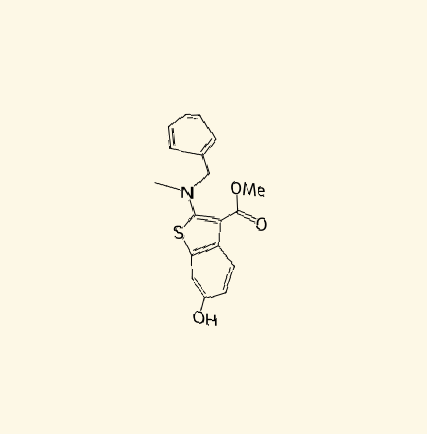 COC(=O)c1c(N(C)Cc2ccccc2)sc2cc(O)ccc12